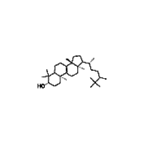 CC(CC[C@@H](C)C1CC[C@@]2(C)C3=C(CC[C@]12C)[C@@]1(C)CC[C@H](O)C(C)(C)C1CC3)C(C)(C)C